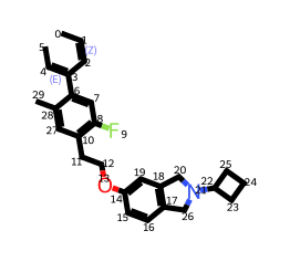 C/C=C\C(=C/C)c1cc(F)c(CCOc2ccc3c(c2)CN(C2CCC2)C3)cc1C